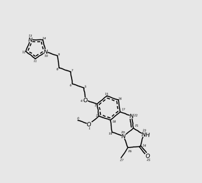 COc1c(OCCCCCn2ccnc2)ccc2c1CN1C(=N2)NC(=O)C1C